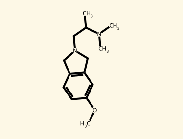 COc1ccc2c(c1)CN(CC(C)N(C)C)C2